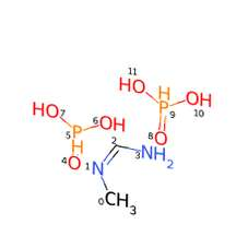 C/N=C\N.O=[PH](O)O.O=[PH](O)O